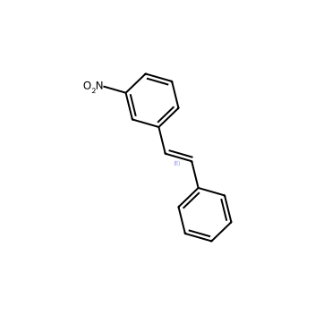 O=[N+]([O-])c1cccc(/C=C/c2ccccc2)c1